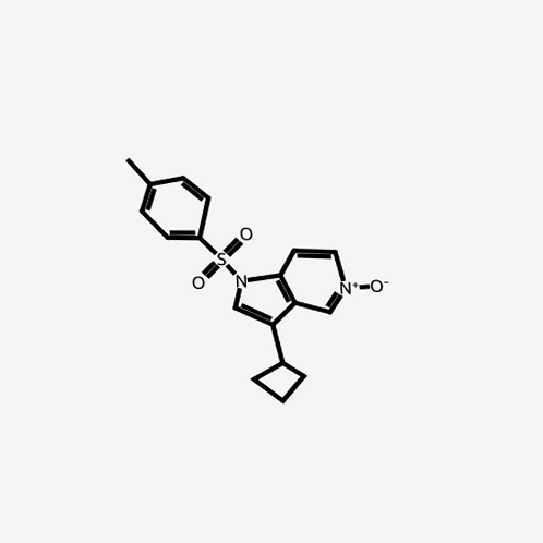 Cc1ccc(S(=O)(=O)n2cc(C3CCC3)c3c[n+]([O-])ccc32)cc1